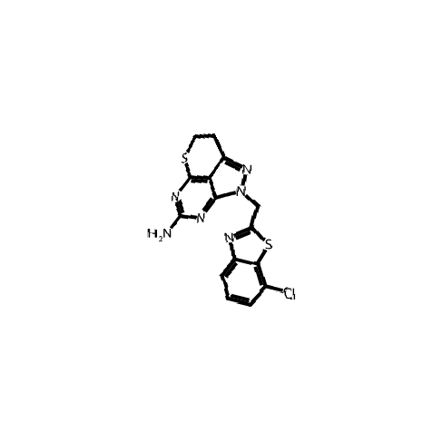 Nc1nc2c3c(nn(Cc4nc5cccc(Cl)c5s4)c3n1)CCS2